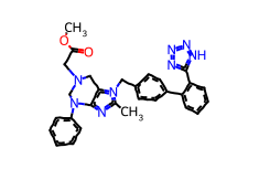 COC(=O)CN1Cc2c(nc(C)n2Cc2ccc(-c3ccccc3-c3nnn[nH]3)cc2)N(c2ccccc2)C1